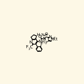 CCn1cc(F)c([S@@](N)(=O)=NC(=O)Nc2c3c(nc(C(F)(F)F)c2-c2ccccc2F)CCC3)n1